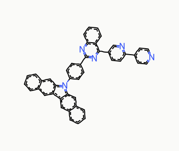 c1ccc2cc3c(cc2c1)c1cc2ccccc2cc1n3-c1ccc(-c2nc(-c3ccc(-c4ccncc4)nc3)c3ccccc3n2)cc1